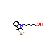 CC1=[N+](CCCCCCO)c2ccccc2C1(C)C.[Br-]